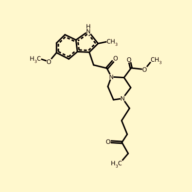 CCC(=O)CCCN1CCN(C(=O)Cc2c(C)[nH]c3ccc(OC)cc23)C(C(=O)OC)C1